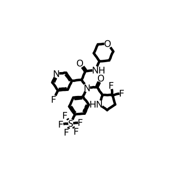 O=C(NC1CCOCC1)C(c1cncc(F)c1)N(C(=O)C1NCCC1(F)F)c1ccc(S(F)(F)(F)(F)F)cc1